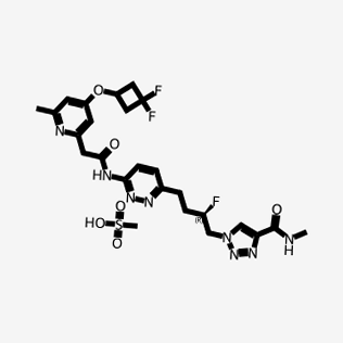 CNC(=O)c1cn(C[C@H](F)CCc2ccc(NC(=O)Cc3cc(OC4CC(F)(F)C4)cc(C)n3)nn2)nn1.CS(=O)(=O)O